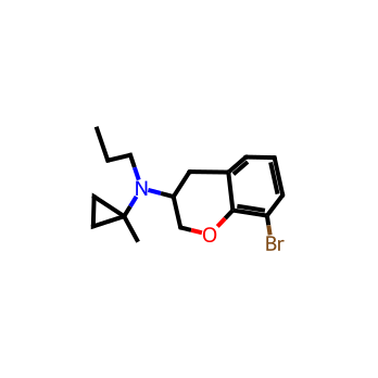 CCCN(C1COc2c(Br)cccc2C1)C1(C)CC1